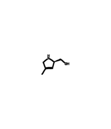 CC1=C[C@H](CO)NC1